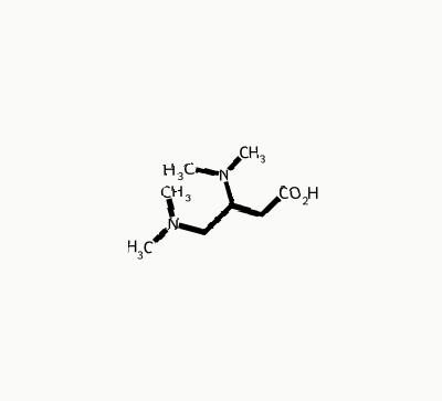 CN(C)CC(CC(=O)O)N(C)C